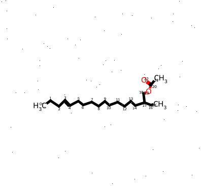 CCCC=CCCCCCCCCCCC(CC)COC(C)=O